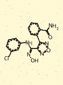 NC(=O)c1ccccc1-c1nonc1/C(=N\O)Nc1cccc(Cl)c1